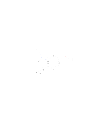 CC(=O)N1CC2(CC2)c2ccc(OC(F)(F)F)cc21